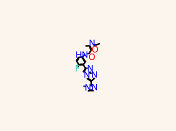 Cc1nc(C)c(C(=O)Nc2ccc(F)c(-c3cn4cc(-c5nccn5C)cnc4n3)c2)o1